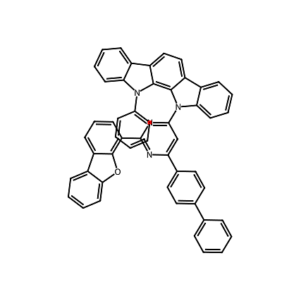 c1ccc(-c2ccc(-c3cc(-n4c5ccccc5c5ccc6c7ccccc7n(-c7ccccc7)c6c54)nc(-c4cccc5c4oc4ccccc45)n3)cc2)cc1